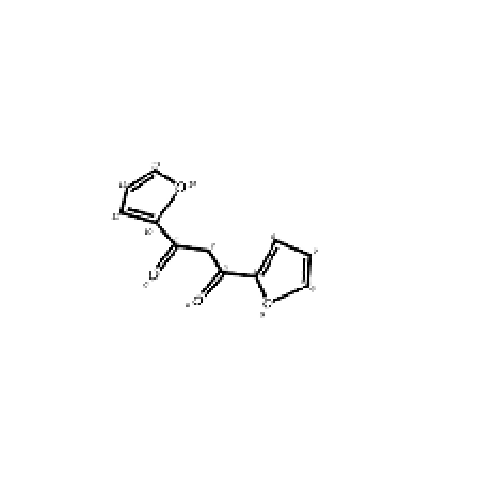 O=C(CC(=O)c1ccco1)c1ccco1